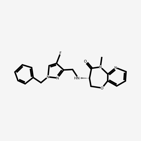 CN1C(=O)[C@@H](NCc2nn(Cc3ccccc3)cc2F)COc2cccnc21